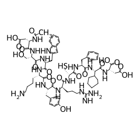 CC(=O)N[C@@H](CC(=O)O)C(=O)N[C@@H](CO)C(=O)N[C@@H](Cc1cc2ccccc2[nH]1)C(=O)N[C@@H](CCCCN)C(=O)N[C@@H](Cc1ccc(O)cc1)C(=O)N[C@H](CCCNC(=N)N)C(=O)N[C@H](CS)C(=O)N[C@@H](Cc1ccccc1)C(=O)N[C@H](C(=O)N[C@@H](CC(=O)O)C(=O)O)C1CCCCC1